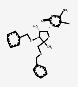 C[C@]1(COCc2ccccc2)O[C@@H](n2cc(F)c(N)nc2=O)[C@@H](O)[C@@H]1OCc1ccccc1